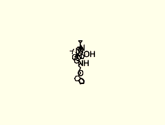 CC(C)(C)[C@@H](C(=O)N1C[C@H](O)C[C@H]1C(=O)NCCCOC1CCCc2ccccc21)n1cc(C2CC2)nn1